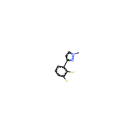 Cn1[c]cc(-c2cccc(F)c2F)n1